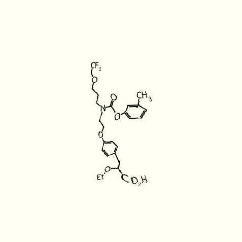 CCOC(Cc1ccc(OCCN(CCCOCC(F)(F)F)C(=O)Oc2cccc(C)c2)cc1)C(=O)O